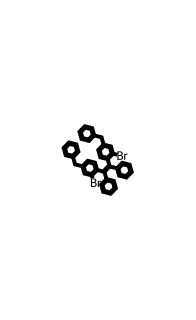 Brc1cc(Cc2ccccc2)ccc1C(=C(c1ccccc1)c1ccc(Cc2ccccc2)cc1Br)c1ccccc1